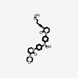 CCCOCCC#CC1=CCCN(c2ccc(N(O)c3ccc(N4CCC=C(N5CCOCC5)C4=O)cc3)cc2)C1=O